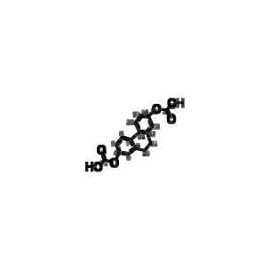 O=C(O)Oc1ccc2c(c1)CCc1cc(OC(=O)O)ccc1-2